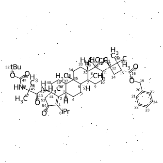 CC(C)C1=C2[C@H]3CC[C@@H]4[C@]5(C)CC[C@H]([C@@]6(C(=O)O)C[C@@H](C(=O)OCc7ccccc7)C6(C)C)C(C)(C)[C@H]5CC[C@@]4(C)[C@]3(C)CC[C@@]2(NC(=O)C(C)(C)NC(=O)OC(C)(C)C)CC1=O